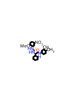 COc1ccc([N+](=O)[O-])cc1NC(=S)N[C@@H](C(=O)Nc1ccc(C)c(C)c1)c1ccccc1